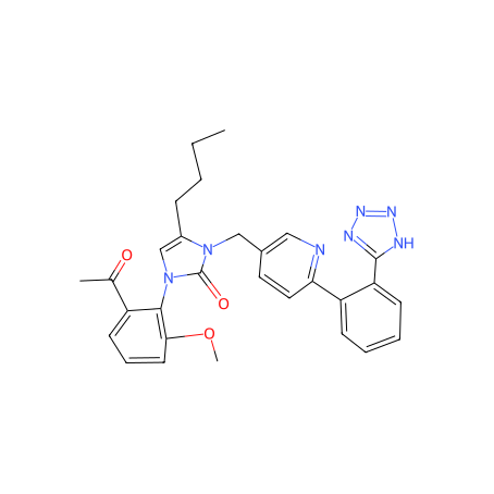 CCCCc1cn(-c2c(OC)cccc2C(C)=O)c(=O)n1Cc1ccc(-c2ccccc2-c2nnn[nH]2)nc1